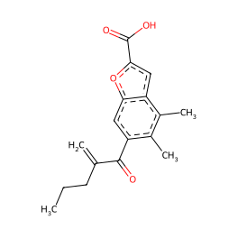 C=C(CCC)C(=O)c1cc2oc(C(=O)O)cc2c(C)c1C